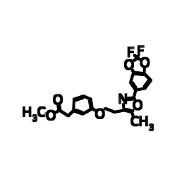 COC(=O)Cc1cccc(OCCc2nc(-c3ccc4c(c3)OC(F)(F)O4)oc2C)c1